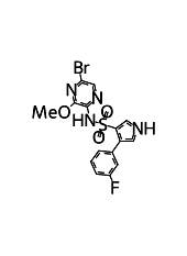 COc1nc(Br)cnc1NS(=O)(=O)c1c[nH]cc1-c1cccc(F)c1